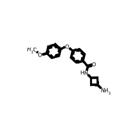 COc1ccc(Oc2ccc(C(=O)NC3CC(N)C3)cc2)cc1